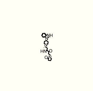 C[C@@H](CC(=N)C(=O)CCN1CCCC1=O)N1CCC(N2[CH]Nc3ccccc32)CC1